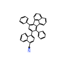 N#Cc1ccc(-c2cc(-c3ccccc3)c3c(c2-c2ccccc2)-c2cccc4cccc-3c24)c2ccccc12